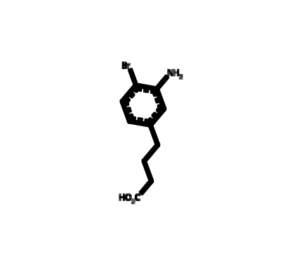 Nc1cc(CCCC(=O)O)ccc1Br